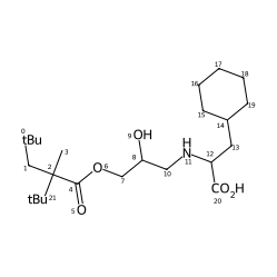 CC(C)(C)CC(C)(C(=O)OCC(O)CNC(CC1CCCCC1)C(=O)O)C(C)(C)C